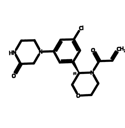 C=CC(=O)N1CCOC[C@H]1c1cc(Cl)cc(N2CCNC(=O)C2)c1